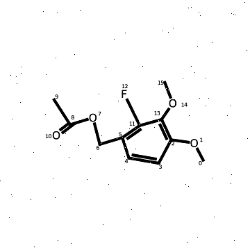 COc1ccc(COC(C)=O)c(F)c1OC